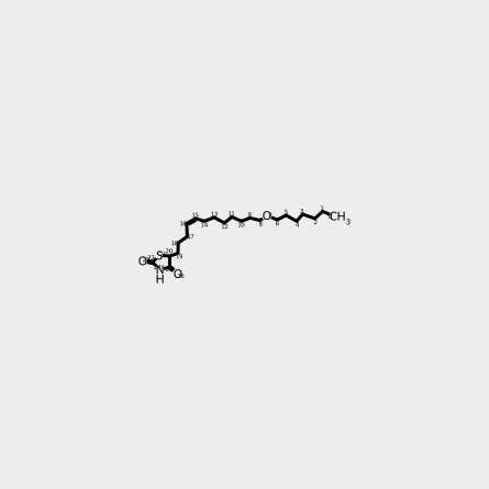 CCCCCCCOCCCCCCC/C=C\CCCC1SC(=O)NC1=O